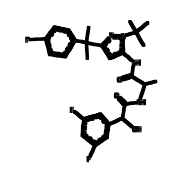 CC(NC(=O)C(O)c1cc(F)cc(F)c1)C(=O)Nc1cc(C(C)(C)c2ccc(F)cc2)nn1C(C)(C)C